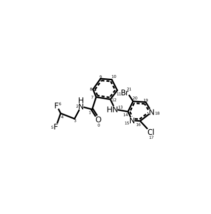 O=C(NCC(F)F)c1ccccc1Nc1nc(Cl)ncc1Br